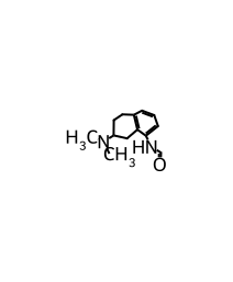 CN(C)C1CCc2cccc(NC=O)c2C1